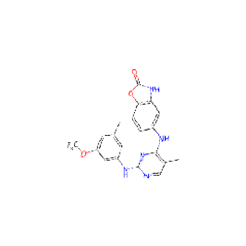 Cc1cc(Nc2ncc(C)c(Nc3ccc4oc(=O)[nH]c4c3)n2)cc(OC(F)(F)F)c1